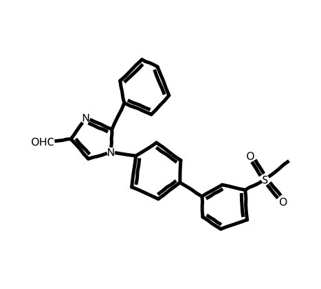 CS(=O)(=O)c1cccc(-c2ccc(-n3cc(C=O)nc3-c3ccccc3)cc2)c1